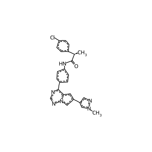 C[C@@H](C(=O)Nc1ccc(-c2ncnn3cc(-c4cnn(C)c4)cc23)cc1)c1ccc(Cl)cc1